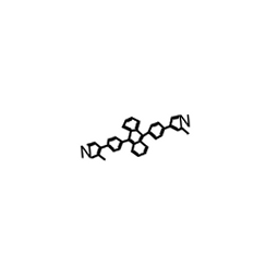 Cc1cc(-c2ccc(-c3c4ccccc4c(-c4ccc(-c5ccncc5C)cc4)c4ccccc34)cc2)ccn1